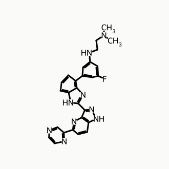 CN(C)CCNc1cc(F)cc(-c2cccc3[nH]c(-c4n[nH]c5ccc(-c6cnccn6)nc45)nc23)c1